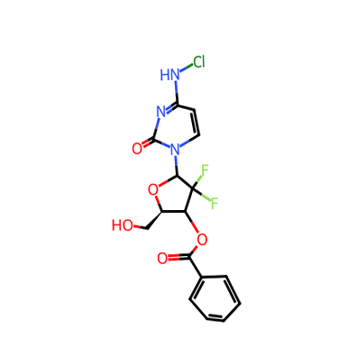 O=C(OC1[C@@H](CO)OC(n2ccc(NCl)nc2=O)C1(F)F)c1ccccc1